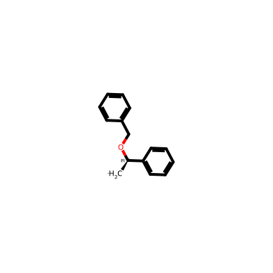 [CH2][C@@H](OCc1ccccc1)c1ccccc1